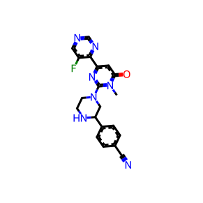 Cn1c(N2CCNC(c3ccc(C#N)cc3)C2)nc(-c2ncncc2F)cc1=O